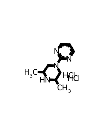 CC1CN(c2ncccn2)CC(C)N1.Cl.Cl